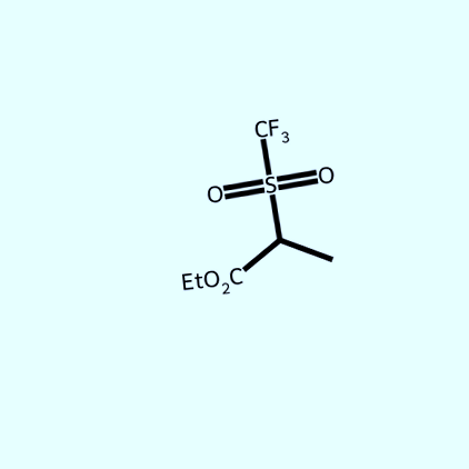 CCOC(=O)C(C)S(=O)(=O)C(F)(F)F